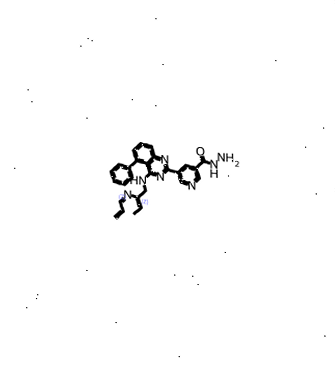 C=C/C=N\C(=C/C)CNc1nc(-c2cncc(C(=O)NN)c2)nc2cccc(-c3ccccc3)c12